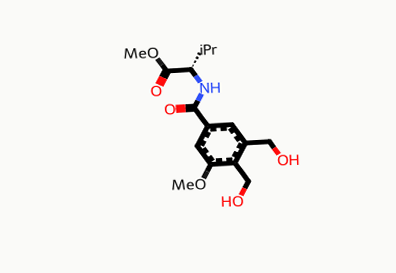 COC(=O)[C@@H](NC(=O)c1cc(CO)c(CO)c(OC)c1)C(C)C